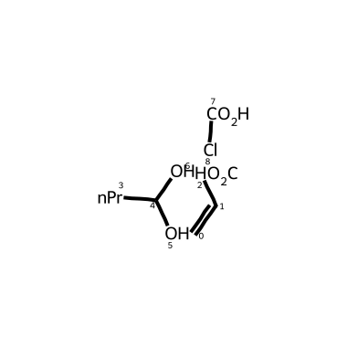 C=CC(=O)O.CCCC(O)O.O=C(O)Cl